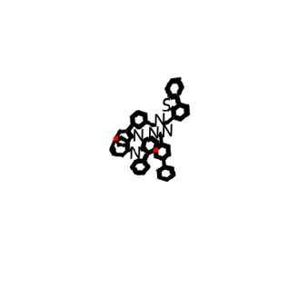 C1#CCC(n2c3ccccc3c3cccc(-n4c5c(c6cccc(-c7nc(-c8ccc(-c9ccccc9)cc8)nc(-c8cccc9c8sc8ccccc89)n7)c64)C=CCC5)c32)=CC=C1